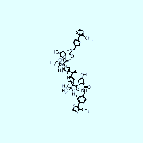 Cc1ncsc1-c1ccc(CNC(=O)[C@@H]2C[C@@H](O)CN2C(=O)[C@@H](n2cc(C3(c4cn([C@H](C(=O)N5C[C@H](O)C[C@H]5C(=O)NCc5ccc(-c6scnc6C)cc5)C(C)(C)C)nn4)CC3)nn2)C(C)(C)C)cc1